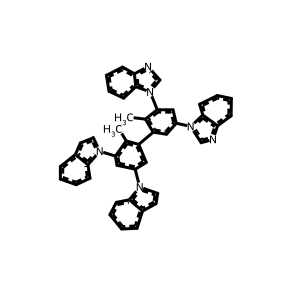 Cc1c(-c2cc(-n3cnc4ccccc43)cc(-n3cnc4ccccc43)c2C)cc(-n2ccc3ccccc32)cc1-n1ccc2ccccc21